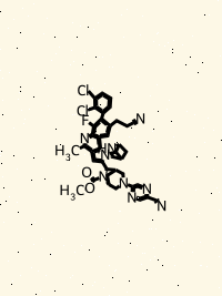 COC(=O)N1C2CC(CN(c3cnc(C#N)cn3)C2)C1c1cc2c(C)nc3c(F)c(-c4cccc(Cl)c4Cl)c(CCC#N)cc3c2n1C1C2CNC1C2